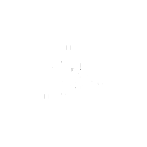 COC1OC(C)(C)[C@H](OC)[C@@H]2OC(=O)O[C@H]12